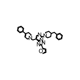 C1=C(c2ccccc2)CCN(Cc2cnc(N3CCC(Cc4ccccc4)CC3)n3nc(-c4ccco4)nc23)C1